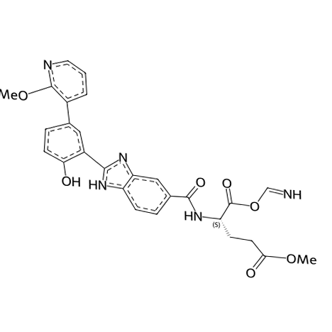 COC(=O)CC[C@H](NC(=O)c1ccc2[nH]c(-c3cc(-c4cccnc4OC)ccc3O)nc2c1)C(=O)OC=N